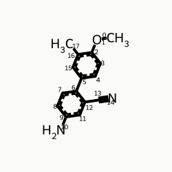 COc1ccc(-c2ccc(N)cc2C#N)cc1C